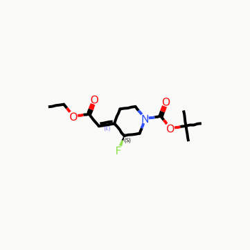 CCOC(=O)/C=C1\CCN(C(=O)OC(C)(C)C)C[C@H]1F